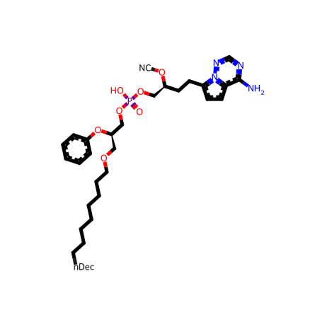 CCCCCCCCCCCCCCCCCCOC[C@H](COP(=O)(O)OC[C@H](CCc1ccc2c(N)ncnn12)OC#N)Oc1ccccc1